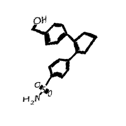 NS(=O)(=O)c1ccc(C2=C(c3ccc(CO)cc3)CCC2)cc1